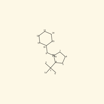 CC(C)(C)C1CCCN1CC1CCCCC1